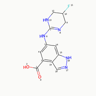 O=C(O)c1cc(NC2=NCC(F)CN2)cc2[nH]ncc12